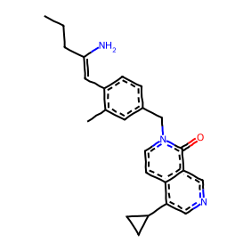 CCC/C(N)=C/c1ccc(Cn2ccc3c(C4CC4)cncc3c2=O)cc1C